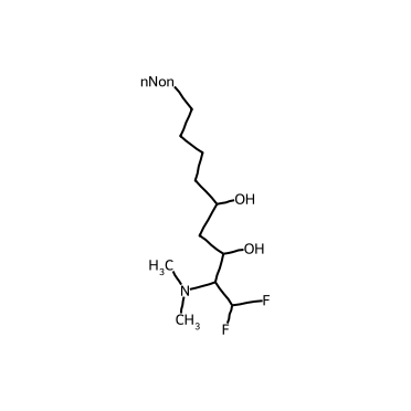 CCCCCCCCCCCCCC(O)CC(O)C(C(F)F)N(C)C